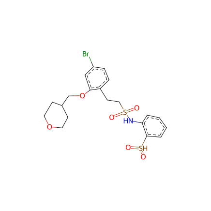 O=[SH](=O)c1ccccc1NS(=O)(=O)CCc1ccc(Br)cc1OCC1CCOCC1